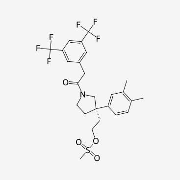 Cc1ccc([C@@]2(CCOS(C)(=O)=O)CCN(C(=O)Cc3cc(C(F)(F)F)cc(C(F)(F)F)c3)C2)cc1C